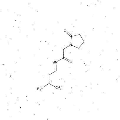 CC(C)CCNC(=O)CN1CCCC1=O